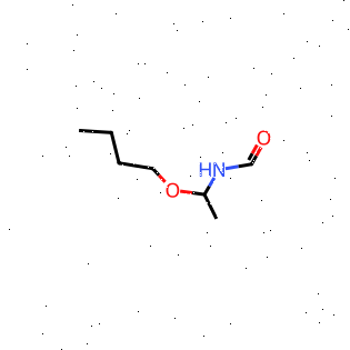 CCCCOC(C)NC=O